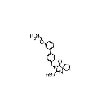 CCCCC1=NC2(CCCC2)C(=O)N1Cc1ccc(-c2cccc(OCN)c2)cc1